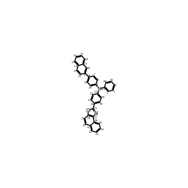 c1ccc(N(c2ccc(-c3ccc4ccccc4c3)cc2)c2ccc(-c3nc4c(ccc5ccccc54)o3)cc2)cc1